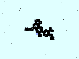 CCOc1ccc(C(=O)/C(Br)=C\c2cc3c(cc2OC)OCO3)cc1N(C)C